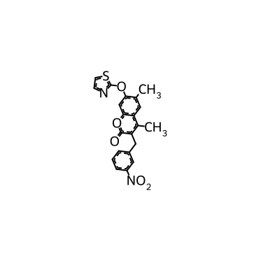 Cc1cc2c(C)c(Cc3cccc([N+](=O)[O-])c3)c(=O)oc2cc1Oc1nccs1